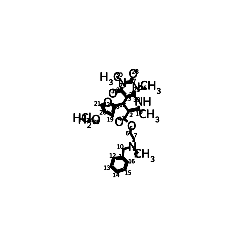 CC1=C(C(=O)OCCN(C)Cc2ccccc2)C(c2ccco2)c2c(n(C)c(=O)n(C)c2=O)N1.Cl.O